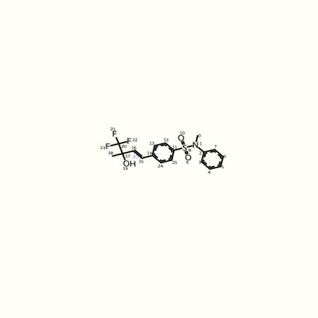 CN(c1ccccc1)S(=O)(=O)c1ccc(/C=C/C(C)(O)C(F)(F)F)cc1